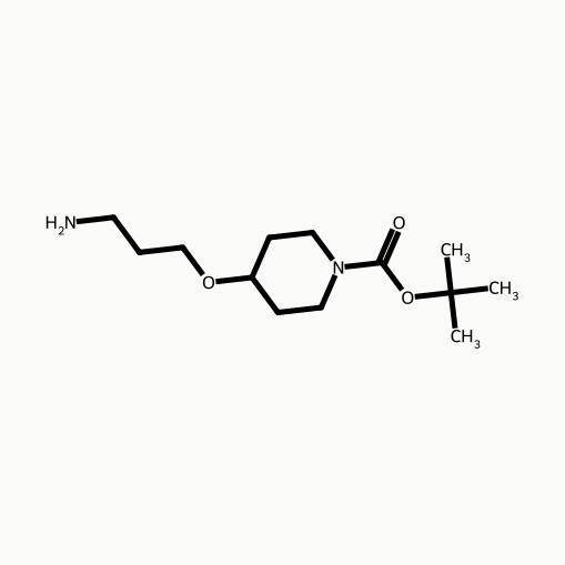 CC(C)(C)OC(=O)N1CCC(OCCCN)CC1